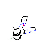 Cc1ccc(C)c(NC(=O)N2C3CCC2CN(Cc2c(-c4ccc(Cl)cc4)nc4ncccn24)C3)c1